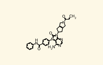 C=CC(=O)N1CC2=C(CC(n3c(=O)n(-c4ccc(C(=O)Nc5ccccc5)cc4)c4c(N)ncnc43)C2)C1